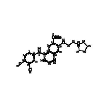 COc1cc2c(Nc3ccc(F)c(Cl)c3)ncnc2cc1OCCN1CCCC1